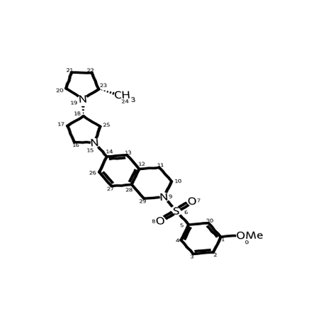 COc1cccc(S(=O)(=O)N2CCc3cc(N4CC[C@H](N5CCC[C@@H]5C)C4)ccc3C2)c1